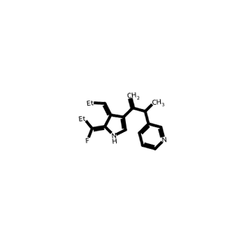 C=C(c1c[nH]c(=C(\F)CC)/c1=C\CC)C(C)c1cccnc1